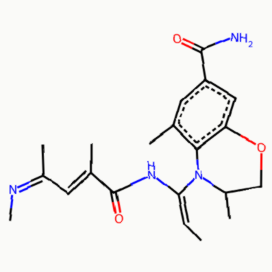 C/C=C(/NC(=O)/C(C)=C/C(C)=N\C)N1c2c(C)cc(C(N)=O)cc2OCC1C